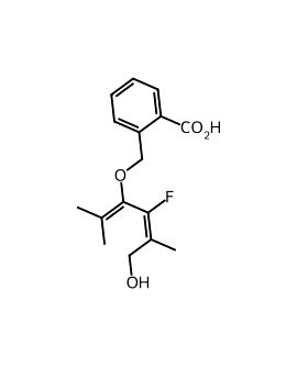 CC(C)=C(OCc1ccccc1C(=O)O)/C(F)=C(/C)CO